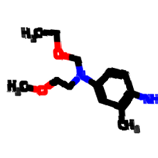 CCOCN(CCOC)c1ccc(N)c(C)c1